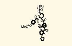 COCOc1ccc(C(=O)N[C@@H]2CN(OC(=O)OC(C)(C)C)CCC[C@H]2OC(=O)c2ccc(C(=O)c3c(OCOC)ccc(N4CCCC4)c3F)cc2)cc1